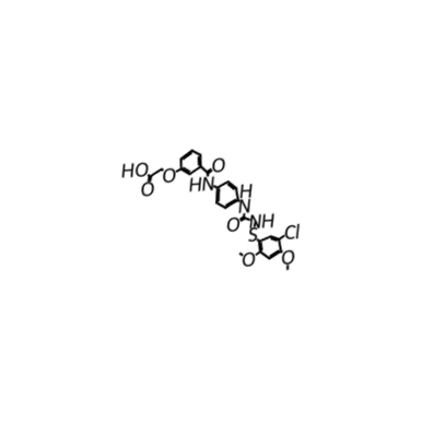 COc1cc(OC)c(SNC(=O)Nc2ccc(NC(=O)c3cccc(OCC(=O)O)c3)cc2)cc1Cl